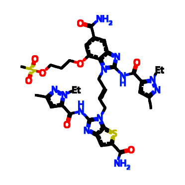 CCn1nc(C)cc1C(=O)Nc1nc2cc(C(N)=O)sc2n1C/C=C/Cn1c(NC(=O)c2cc(C)nn2CC)nc2cc(C(N)=O)cc(OCCCOS(C)(=O)=O)c21